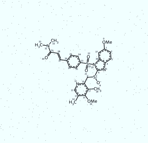 COc1ccc2nc([S+]([O-])Cc3ncc(C)c(OC)c3C)n(S(=O)(=O)c3ccc(/C=C/C(=O)N(C)C)cc3)c2c1